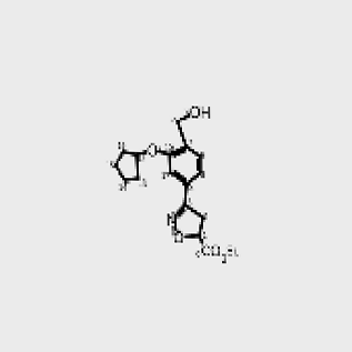 CCOC(=O)C1CC(c2ccc(CO)c(OC3CCCC3)c2)=NO1